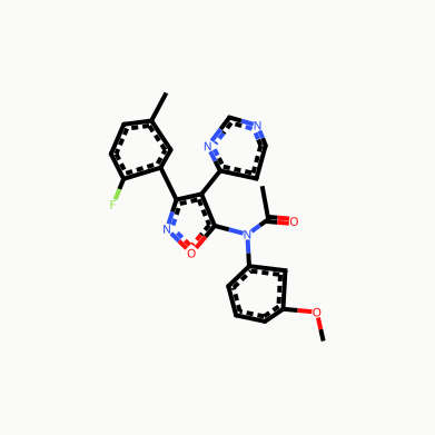 COc1cccc(N(C(C)=O)c2onc(-c3cc(C)ccc3F)c2-c2ccncn2)c1